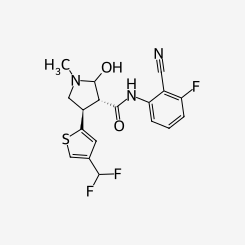 CN1C[C@H](c2cc(C(F)F)cs2)[C@@H](C(=O)Nc2cccc(F)c2C#N)C1O